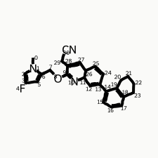 Cn1cc(F)cc1COC1=NC2C=C(c3cccc4c3CCCC4)C=CC2C=C1CC#N